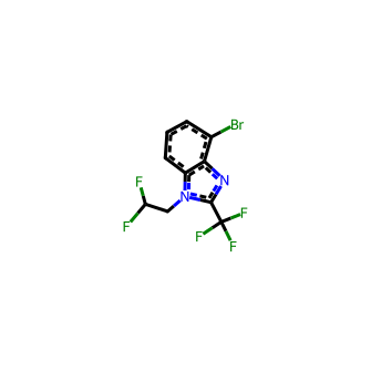 FC(F)Cn1c(C(F)(F)F)nc2c(Br)cccc21